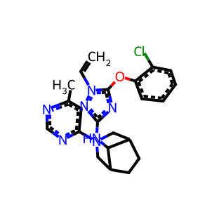 C=Cn1nc(NC2C3CCC2CN(c2cc(C)ncn2)C3)nc1Oc1ccccc1Cl